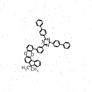 CC1(C)c2ccccc2-c2c1ccc1c2Oc2c(cccc2-c2cccc(-c3nc(-c4ccc(-c5ccccc5)cc4)nc(-c4ccc(-c5ccccc5)cc4)n3)c2)O1